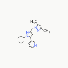 Cc1cc(C)n(Cc2cc(-c3cccnc3)n(C3CCCCC3)n2)n1